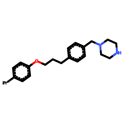 CC(C)c1ccc(OCCCc2ccc(CN3CCNCC3)cc2)cc1